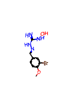 COc1ccc(C=NNC(=N)NO)cc1Br